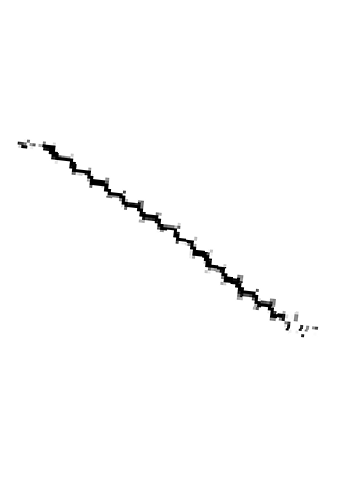 CCCCCCCCC=CCCCCCCCCCCCCCCCCC=CCCCCCCCCNC(=O)OCC